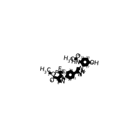 CCOC(=O)c1cnn(-c2ccc(-c3cn(-c4cc(O)ccc4NC(C)=O)nn3)cc2)c1C(F)(F)F